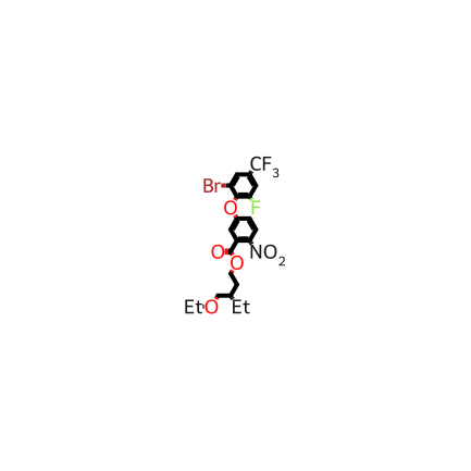 CCOCC(CC)CCOC(=O)c1cc(Oc2c(F)cc(C(F)(F)F)cc2Br)ccc1[N+](=O)[O-]